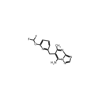 Cc1nc2ncnn2c(N)c1Cc1cccc(OC(F)F)n1